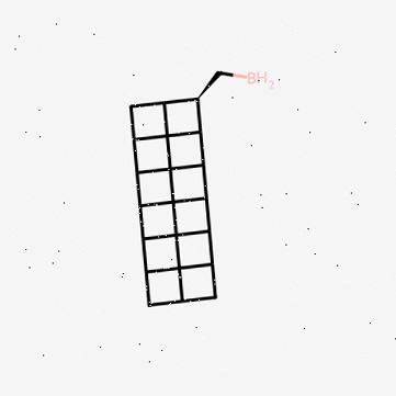 BC[C@@H]1C2CC3C4C5C6C7CC8CC9C%10C%11C%12C1C32C4%12C5%11C6%10C879